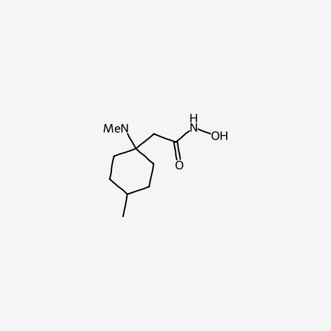 CNC1(CC(=O)NO)CCC(C)CC1